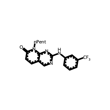 CCCCCn1c(=O)ccc2cnc(Nc3cccc(C(F)(F)F)c3)nc21